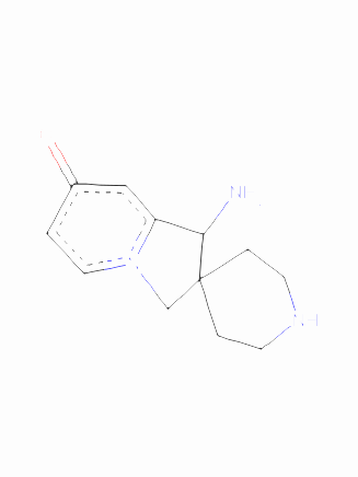 NC1c2cc(=O)ccn2CC12CCNCC2